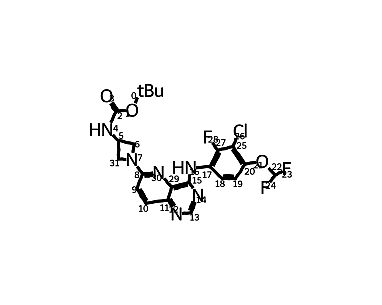 CC(C)(C)OC(=O)NC1CN(c2ccc3ncnc(Nc4ccc(OC(F)F)c(Cl)c4F)c3n2)C1